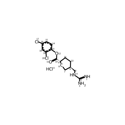 Cl.N=C(N)NC[C@H]1CC[C@H](C(=O)Oc2ccc(Cl)cc2Cl)CC1